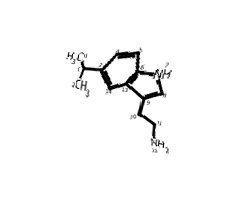 CC(C)c1ccc2[nH]cc(CCN)c2c1